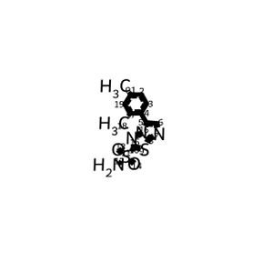 Cc1ccc(-c2cnc3sc(S(N)(=O)=O)nn23)c(C)c1